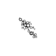 C=C1CCC2[C@]3(C)CO[C@@H](C4CCCC4)O[C@@H]3CC[C@@]2(C)[C@@H]1CCOc1ccc(C(=O)O)nc1